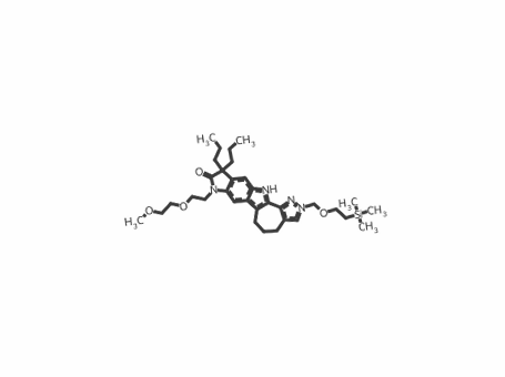 CCCC1(CCC)C(=O)N(CCOCCOC)c2cc3c4c([nH]c3cc21)-c1nn(COCC[Si](C)(C)C)cc1CCC4